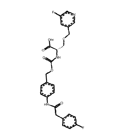 O=C(Cc1ccc(F)cc1)Nc1ccc(COC(=O)N[C@@H](COCc2cncc(F)c2)C(=O)O)cc1